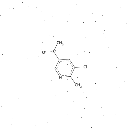 Cc1ncc([S+](C)[O-])cc1Cl